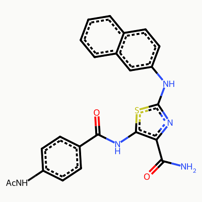 CC(=O)Nc1ccc(C(=O)Nc2sc(Nc3ccc4ccccc4c3)nc2C(N)=O)cc1